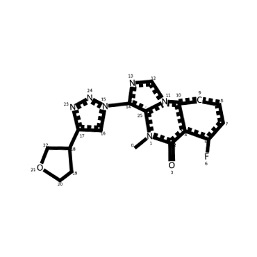 Cn1c(=O)c2c(F)cccc2n2cnc(-n3cc(C4CCOC4)nn3)c12